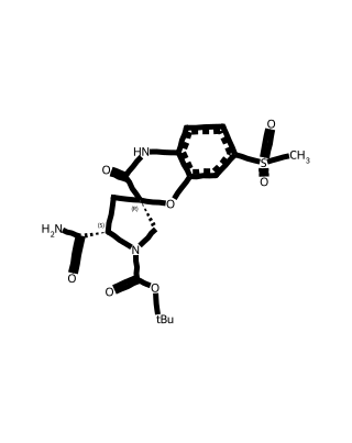 CC(C)(C)OC(=O)N1C[C@@]2(C[C@H]1C(N)=O)Oc1cc(S(C)(=O)=O)ccc1NC2=O